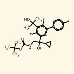 CC(C)(C)OC(=O)NCC(O)(c1nc(-c2ccc(F)cc2)c(F)c(C(C)(C)O)c1F)C1CC1